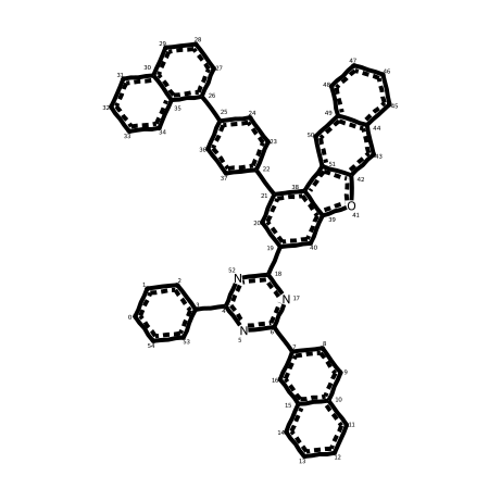 c1ccc(-c2nc(-c3ccc4ccccc4c3)nc(-c3cc(-c4ccc(-c5cccc6ccccc56)cc4)c4c(c3)oc3cc5ccccc5cc34)n2)cc1